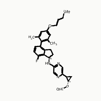 CSCCCOc1cc(C)c(-c2ccc(F)c3c2CC[C@H]3Nc2cnc(C3C[C@@H]3OC=O)cn2)c(C)c1